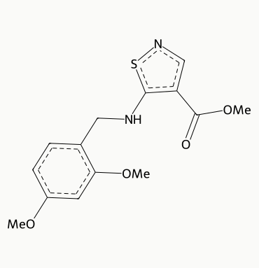 COC(=O)c1cnsc1NCc1ccc(OC)cc1OC